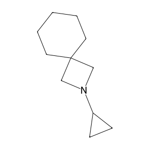 C1CCC2(CC1)CN(C1CC1)C2